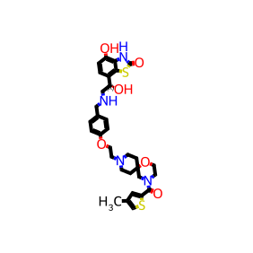 Cc1csc(C(=O)N2CCOC3(CCN(CCOc4ccc(CNC[C@H](O)c5ccc(O)c6[nH]c(=O)sc56)cc4)CC3)C2)c1